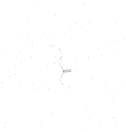 CONC(=O)NO